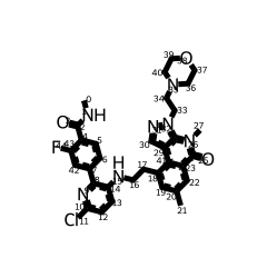 CNC(=O)c1ccc(-c2nc(Cl)ccc2NCCc2cc(C)cc3c(=O)n(C)c4c(cnn4CCN4CCOCC4)c23)cc1F